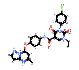 CCn1cc(C(=O)Nc2ccc(Oc3cc(C)nc4ccnn34)cc2)c(=O)n(-c2ccc(F)cc2)c1=O